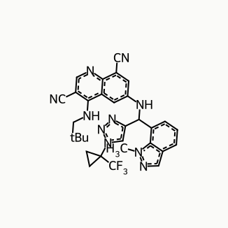 Cn1ncc2cccc(C(Nc3cc(C#N)c4ncc(C#N)c(NCC(C)(C)C)c4c3)c3cn(C4(C(F)(F)F)CC4)nn3)c21